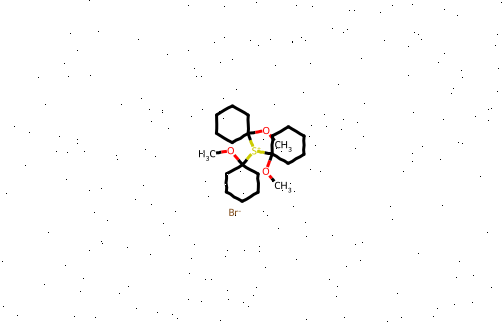 COC1([S+](C2(OC)CCCCC2)C2(OC)CCCCC2)CCCCC1.[Br-]